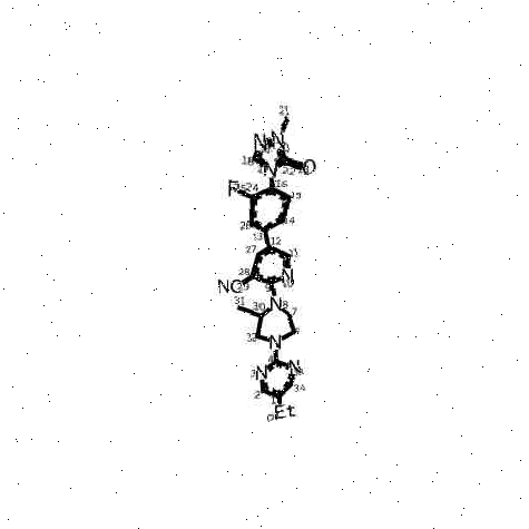 CCc1cnc(N2CCN(c3ncc(-c4ccc(-n5cnn(C)c5=O)c(F)c4)cc3C#N)C(C)C2)nc1